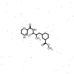 COC(=O)C1CCCC(CC(C)C(C)NC(=O)C2CNCCO2)C1